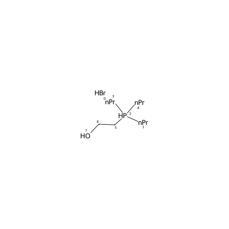 Br.CCC[PH](CCC)(CCC)CCO